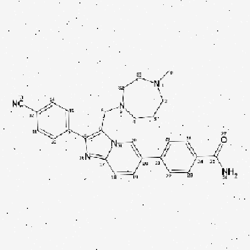 CN1CCCN(Cc2c(-c3ccc(C#N)cc3)nc3ccc(-c4ccc(C(N)=O)cc4)cn23)CC1